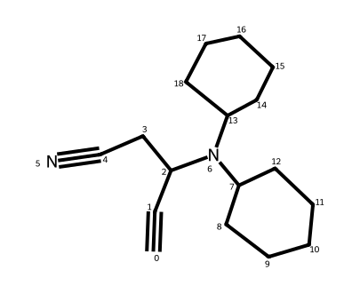 C#CC(CC#N)N(C1CCCCC1)C1CCCCC1